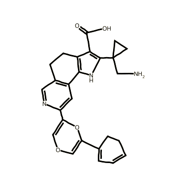 NCC1(c2[nH]c3c(c2C(=O)O)CCc2cnc(C4=COC=C(C5=CC=CCC5)O4)cc2-3)CC1